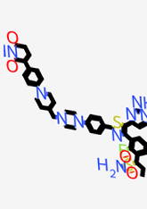 CCC(c1cccc(-c2nc(-c3ccc(N4CCN(CC5CCN(c6ccc(C7CCC(=O)NC7=O)cc6)CC5)CC4)cc3)sc2-c2ccnc(N)n2)c1F)S(N)(=O)=O